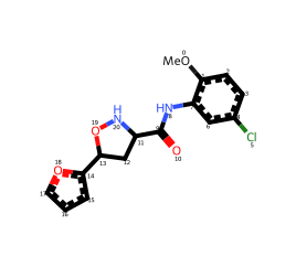 COc1ccc(Cl)cc1NC(=O)C1CC(c2ccco2)ON1